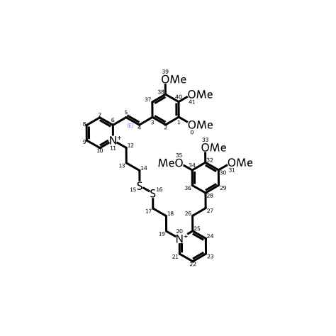 COc1cc(/C=C/c2cccc[n+]2CCCSSCCC[n+]2ccccc2CCc2cc(OC)c(OC)c(OC)c2)cc(OC)c1OC